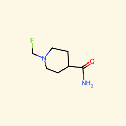 NC(=O)C1CCN(CF)CC1